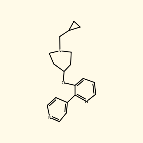 c1cnc(-c2ccncc2)c(OC2CCN(CC3CC3)CC2)c1